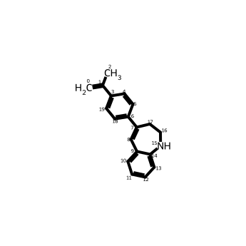 C=C(C)c1ccc(C2=Cc3ccccc3NCC2)cc1